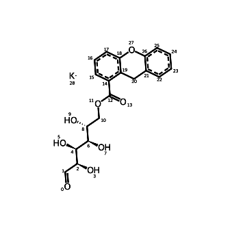 O=C[C@H](O)[C@@H](O)[C@H](O)[C@H](O)COC(=O)c1cccc2c1Cc1ccccc1O2.[K]